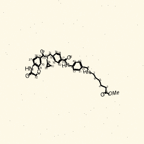 COC(=O)CCCCCNCc1ccc(NC(=O)c2ccc(CN(C(=O)c3ccc4c(c3)OCC(=O)N4)C3CC3)cc2)cc1